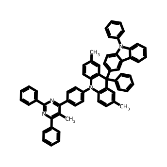 Cc1ccc2c(c1)C(c1ccccc1)(c1ccc3c(c1)c1ccccc1n3-c1ccccc1)c1cc(C)ccc1N2c1ccc(-c2nc(-c3ccccc3)nc(-c3ccccc3)c2C)cc1